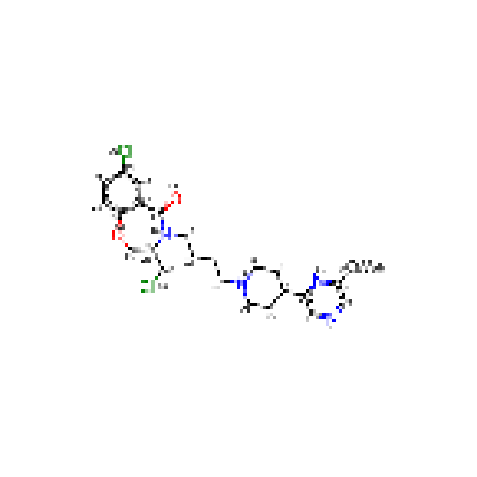 COc1cncc(C2CCN(CCCCN3C(=O)c4cc(Cl)ccc4OC=C3CCl)CC2)n1